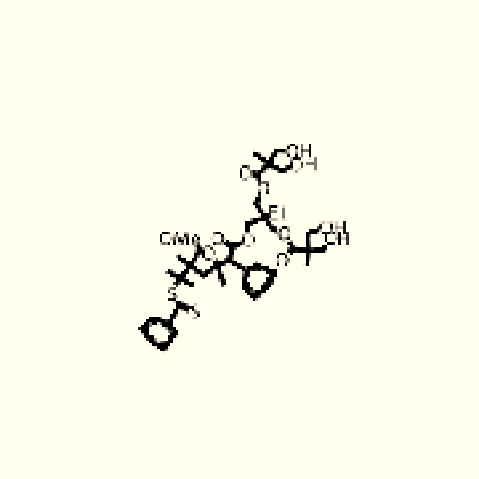 CCC(COC(=O)C(c1ccccc1)C(C)(C)CC(C)(C(=O)OC)C(C)(C)SC(=S)c1ccccc1)(COC(=O)C(C)(CO)CO)COC(=O)C(C)(CO)CO